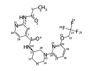 CCC(=O)Nc1cc(C(=O)N[C@@H]2CCCN(c3cccc(OCC(F)(F)F)n3)C2)ccn1